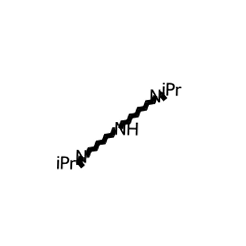 CC(=NCCCCCCCCNCCCCCCCCN=C(C)C(C)C)C(C)C